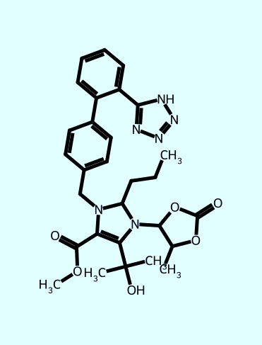 CCCC1N(Cc2ccc(-c3ccccc3-c3nnn[nH]3)cc2)C(C(=O)OC)=C(C(C)(C)O)N1C1OC(=O)OC1C